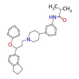 CC(C)C(=O)Nc1cccc(C2CCN(CCC(Oc3ccccc3)c3ccc4c(c3)CCC4)CC2)c1